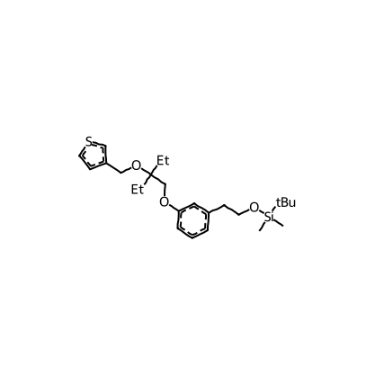 CCC(CC)(COc1cccc(CCO[Si](C)(C)C(C)(C)C)c1)OCc1ccsc1